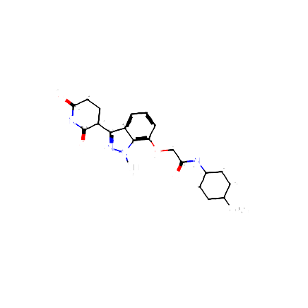 COC1CCC(NC(=O)COc2cccc3c(C4CCC(=O)NC4=O)nn(C)c23)CC1